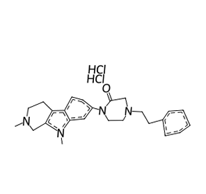 CN1CCc2c(n(C)c3cc(N4CCN(CCc5ccccc5)CC4=O)ccc23)C1.Cl.Cl